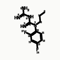 CCCN(C(=N)NC(=N)N)c1ccc(F)cc1F